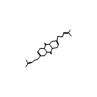 CC(C)=CCCC1=CCC2C(=O)C3CC(CCC=C(C)C)=CCC3C(=O)C2C1